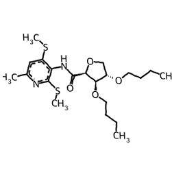 CCCCO[C@@H]1[C@@H](OCCCC)CO[C@@H]1C(=O)Nc1c(SC)cc(C)nc1SC